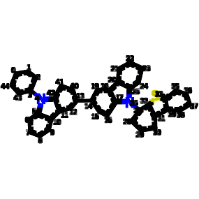 c1ccc(-n2c3ccccc3c3cc(-c4ccc5c(c4)c4ccccc4n5-c4cccc5c4sc4ccccc45)ccc32)cc1